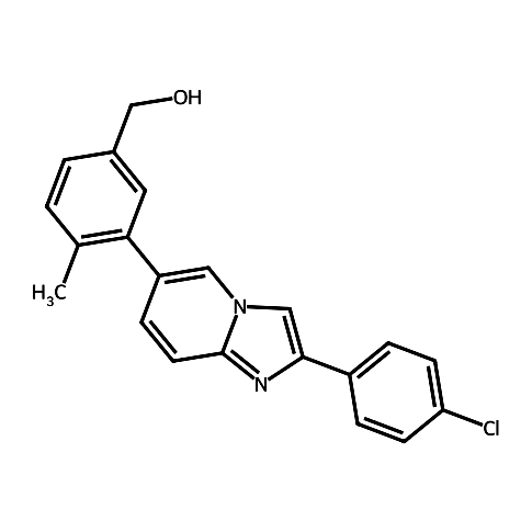 Cc1ccc(CO)cc1-c1ccc2nc(-c3ccc(Cl)cc3)cn2c1